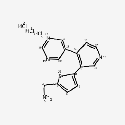 Cl.Cl.Cl.NCc1ccc(-c2cnccc2-c2cncnc2)s1